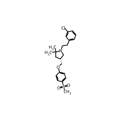 CC1(C)C[C@@H](COc2ccc(S(C)(=O)=O)cc2)CN1CCc1cccc(Cl)c1